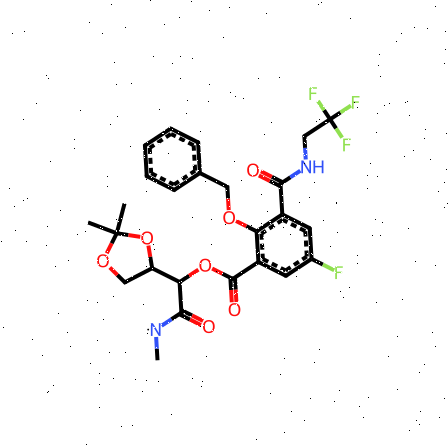 C[N]C(=O)C(OC(=O)c1cc(F)cc(C(=O)NCC(F)(F)F)c1OCc1ccccc1)C1COC(C)(C)O1